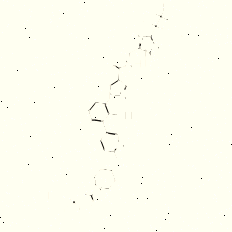 Cc1ccc(-n2cc(C(=O)NCc3nc(C(C)(C)C(F)(F)F)n[nH]3)cn2)c(C)c1-c1ccc(OC2CCN(C(=O)OC(C)(C)C)CC2)nc1